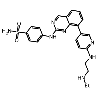 CCNCCNc1ccc(-c2cccc3cnc(Nc4ccc(S(N)(=O)=O)cc4)nc23)cn1